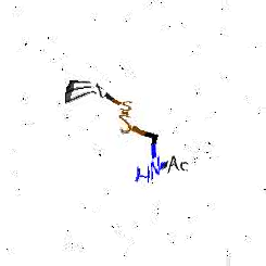 CCSSCNC(C)=O